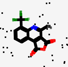 Cc1nc2c(C(F)(F)F)cccc2c2c1C(=O)OC2=O